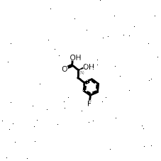 O=C(O)[C@@H](O)Cc1cccc(F)c1